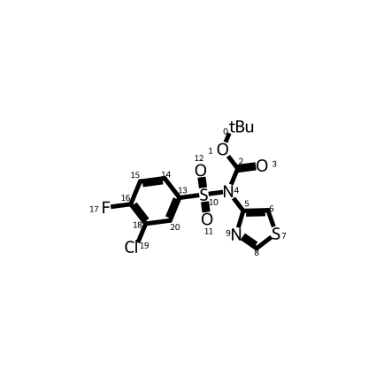 CC(C)(C)OC(=O)N(c1cscn1)S(=O)(=O)c1ccc(F)c(Cl)c1